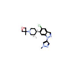 C[C@@H]1CN(C2(C)COC2)CC[C@H]1c1cc2c(cnn2-c2cnn(C)c2)cc1Cl